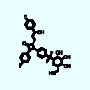 O=C1[C@H](CC[C@H](O)c2ccc(F)cc2)[C@@H](c2ccc(C(F)(F)C3S[C@H](CO)[C@@H](O)[C@H](O)[C@H]3O)cc2)N1c1ccc(F)cc1